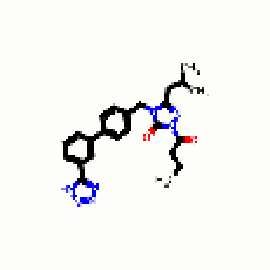 CCCC(=O)n1nc(CC(C)C)n(Cc2ccc(-c3cccc(-c4nnn[nH]4)c3)cc2)c1=O